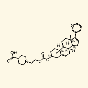 C[C@]12CC[C@H](OC(=O)OCCN3CCC(C(=O)O)CC3)CC1=CC[C@@H]1[C@@H]2CC[C@]2(C)C(c3cccnc3)=CC[C@@H]12